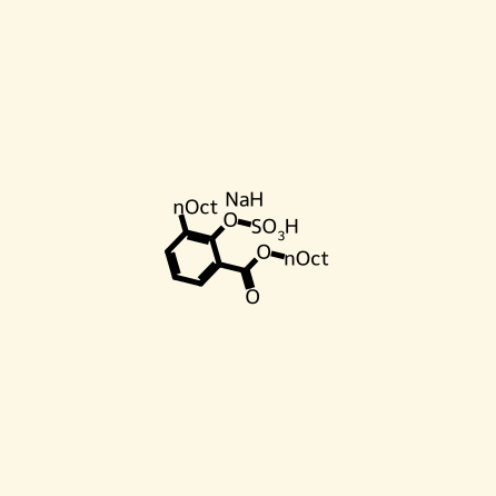 CCCCCCCCOC(=O)c1cccc(CCCCCCCC)c1OS(=O)(=O)O.[NaH]